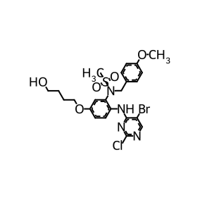 COc1ccc(CN(c2cc(OCCCCO)ccc2Nc2nc(Cl)ncc2Br)S(C)(=O)=O)cc1